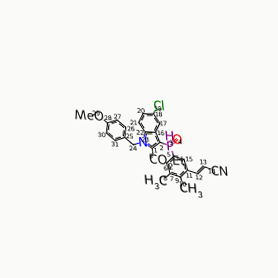 CCOC(=O)c1c([PH](=O)c2cc(C)c(C)c(C=CC#N)c2)c2cc(Cl)ccc2n1Cc1ccc(OC)cc1